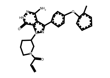 C=CC(=O)N1CCCC(n2nc(-c3ccc(Oc4ccccc4C)cc3)c3c(N)n[nH]c(=O)c32)C1